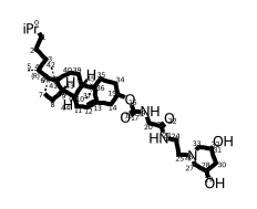 CC(C)CCC[C@@H](C)[C@H]1CC[C@H]2[C@@H]3CC=C4CC(OC(=O)NCC(=O)NCCN5CC(O)CC(O)C5)CC[C@]4(C)[C@H]3CC[C@]12C